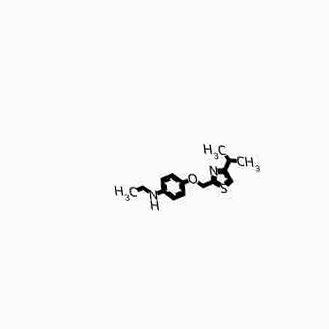 CCNc1ccc(OCc2nc(C(C)C)cs2)cc1